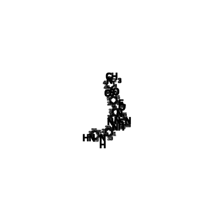 CN1CCC(S(=O)(=O)c2ccc(-c3cc4cnc(Nc5ccc(NC6CCCNC6)cc5)nc4n(Cc4nccs4)c3=O)c(F)c2)CC1